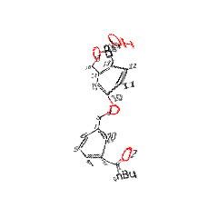 CCCCC(=O)c1cccc(COc2ccc3c(c2)COB3O)c1